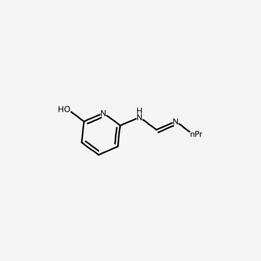 CCCN=CNc1cccc(O)n1